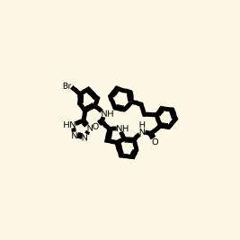 O=C(Nc1ccc(Br)cc1-c1nnn[nH]1)c1cc2cccc(NC(=O)c3ccccc3CCc3ccccc3)c2[nH]1